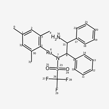 Cc1cc(C)[c]([Ru][N](C(c2ccccc2)C(N)c2ccccc2)S(=O)(=O)C(F)(F)F)c(C)c1